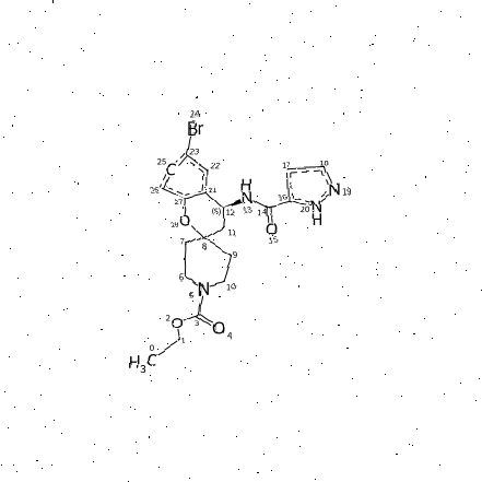 CCOC(=O)N1CCC2(CC1)C[C@H](NC(=O)c1ccn[nH]1)c1cc(Br)ccc1O2